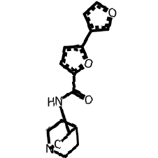 O=C(NC1CN2CCC1CC2)c1ccc(-c2ccoc2)o1